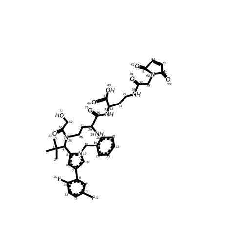 CC(C)(C)C(c1cc(-c2cc(F)ccc2F)cn1Cc1ccccc1)N(CCC(N)C(=O)NC(CCNC(=O)CN1C(=O)C=CC1=O)C(=O)O)C(=O)CO